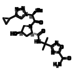 CC(C)(NC(=O)[C@@H]1C[C@@H](O)CN1C(=O)[C@@H](n1cc(C2CC2)nn1)C(C)(C)C)c1noc(C(N)=O)n1